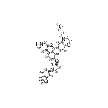 COCCCN1CCOc2ccc(CO[C@H]3CNCC[C@@H]3c3ccc(O[C@H]4CCN(c5ccc6c(c5)OCO6)C4)cc3)cc21